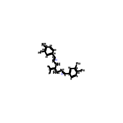 CC(C)=C(N/N=C/c1ccc(F)c(F)c1)N/N=C/c1ccc(F)c(F)c1